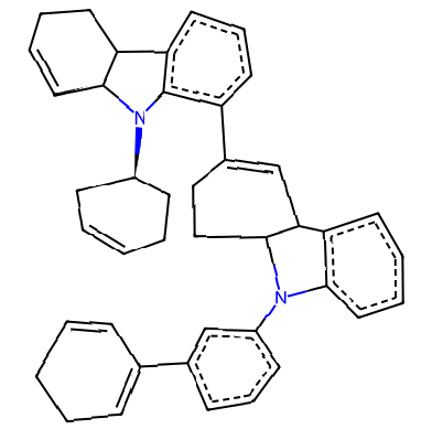 C1=CC(c2cccc(N3c4ccccc4C4C=C(c5cccc6c5N([C@@H]5CC=CCC5)C5C=CCCC65)CCC43)c2)=CCC1